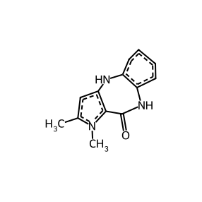 Cc1cc2c(n1C)C(=O)Nc1ccccc1N2